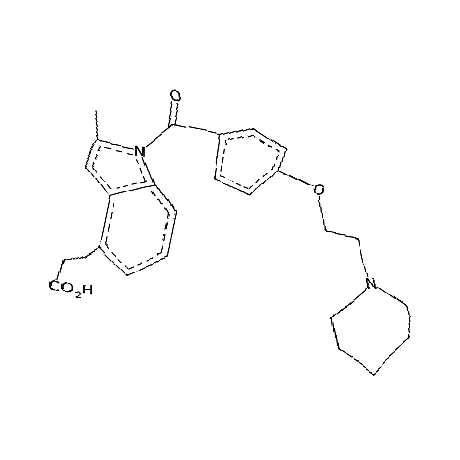 Cc1cc2c(CC(=O)O)cccc2n1C(=O)c1ccc(OCCN2CCCCC2)cc1